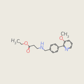 CCOC(=O)CCNCc1ccc(-c2ncccc2OC)cc1